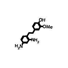 COc1cc(CCc2ccc(N)cc2N)ccc1O